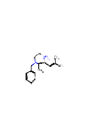 CCN(CC1=CCCC=C1)C(C)[C@H](N)C=C(C)C